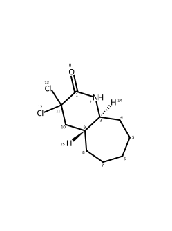 O=C1N[C@H]2CCCCC[C@@H]2CC1(Cl)Cl